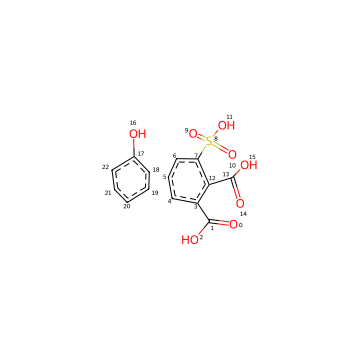 O=C(O)c1cccc(S(=O)(=O)O)c1C(=O)O.Oc1ccccc1